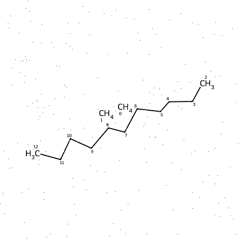 C.C.CCCCCCCCCCC